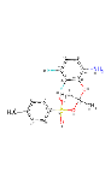 Cc1ccc(S(=O)(=O)OC(C)(C)Oc2c(N)ccc(F)c2F)cc1